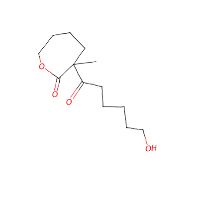 CC1(C(=O)CCCCCO)CCCCOC1=O